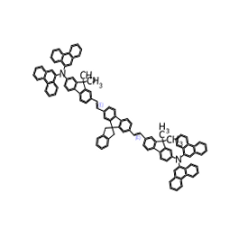 CC1(C)c2cc(/C=C/c3ccc4c(c3)C3(Cc5ccccc5C3)c3cc(/C=C/c5ccc6c(c5)C(C)(C)c5cc(N(c7cc8ccccc8c8ccccc78)c7cc8ccccc8c8ccccc78)ccc5-6)ccc3-4)ccc2-c2ccc(N(c3cc4ccccc4c4ccccc34)c3cc4ccccc4c4ccccc34)cc21